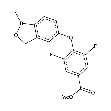 COC(=O)c1cc(F)c(Oc2ccc3c(c2)COB3C)c(F)c1